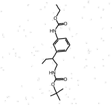 CCOC(=O)Nc1cccc(C(CC)CNC(=O)OC(C)(C)C)c1